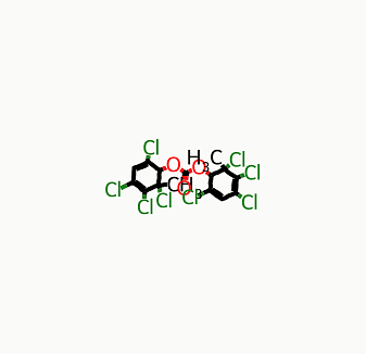 CC1(Cl)C(Cl)=C(Cl)C=C(Cl)C1OC(=O)OC1C(Cl)=CC(Cl)=C(Cl)C1(C)Cl